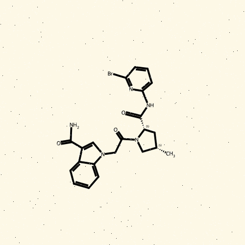 C[C@H]1C[C@@H](C(=O)Nc2cccc(Br)n2)N(C(=O)Cn2cc(C(N)=O)c3ccccc32)C1